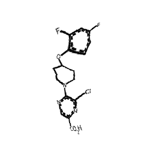 O=C(O)c1cnc(N2CCC(Oc3ccc(F)cc3F)CC2)c(Cl)n1